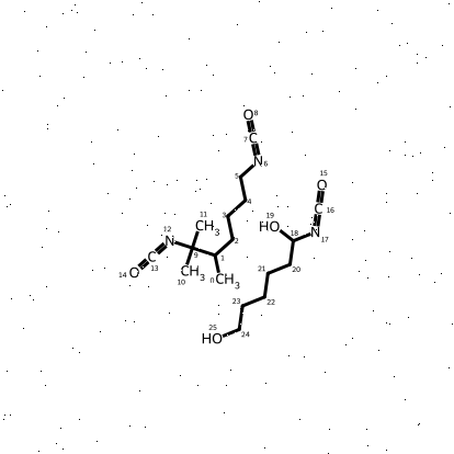 CC(CCCCN=C=O)C(C)(C)N=C=O.O=C=NC(O)CCCCCO